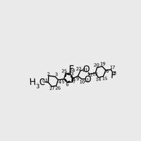 CC1CCC(c2ccc(C3COC(C4CCC(CF)CC4)OC3)c(F)c2)CC1